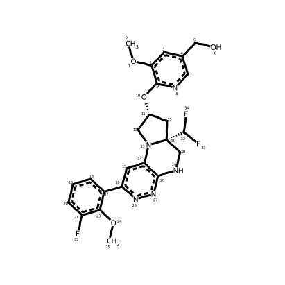 COc1cc(CO)cnc1O[C@H]1CN2c3cc(-c4cccc(F)c4OC)nnc3NC[C@]2(C(F)F)C1